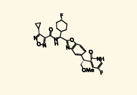 COC[C@H](c1ccc2oc([C@@H](NC(=O)c3nonc3C3CC3)C3CCC(F)CC3)nc2c1)c1cc(F)c[nH]c1=O